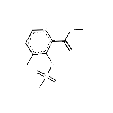 Cc1cccc(C(=O)OCl)c1NS(C)(=O)=O